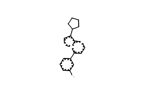 Nc1cccc(-c2ccnc3c(C4CCCC4)cnn23)c1